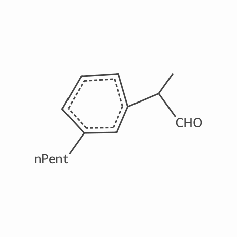 CCCCCc1cccc(C(C)C=O)c1